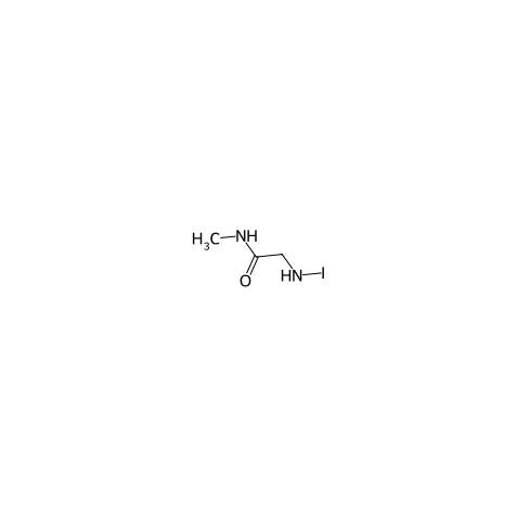 CNC(=O)CNI